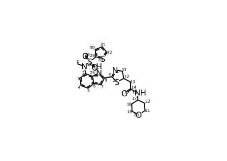 CN(c1cccc2cc(C3=NCC(CC(=O)NC4CCOCC4)S3)[nH]c12)S(=O)(=O)c1cccs1